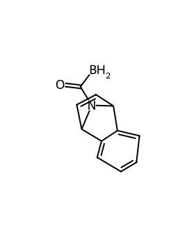 BC(=O)N1C2C=CC1c1ccccc12